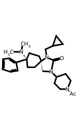 CC(=O)N1CCC(N2C[C@]3(CC[C@@](c4ccccc4)(N(C)C)CC3)N(CC3CC3)C2=O)CC1